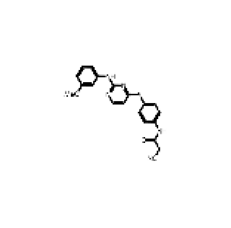 COc1cccc(Nc2nccc(Sc3ccc(NC(=O)CC#N)cc3)n2)c1